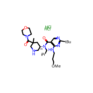 COCCCNc1nc(C(C)(C)C)ncc1C(=O)N(CC(C)C)[C@@H]1CNCC(C)(C(=O)N2CCOCC2)C1.Cl.Cl